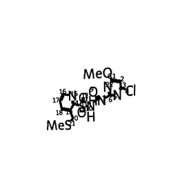 COc1cc(Cl)nc(NC(=O)NS(=O)(=O)c2ncccc2CSC)n1